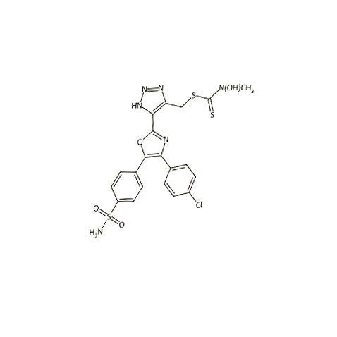 CN(O)C(=S)SCc1nn[nH]c1-c1nc(-c2ccc(Cl)cc2)c(-c2ccc(S(N)(=O)=O)cc2)o1